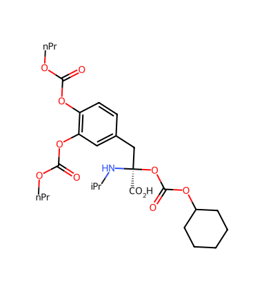 CCCOC(=O)Oc1ccc(C[C@](NC(C)C)(OC(=O)OC2CCCCC2)C(=O)O)cc1OC(=O)OCCC